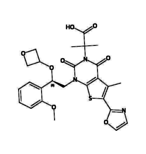 COc1ccccc1[C@H](Cn1c(=O)n(C(C)(C)C(=O)O)c(=O)c2c(C)c(-c3ncco3)sc21)OC1COC1